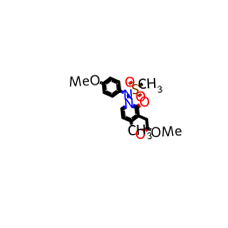 COC(=O)Cc1c(C)ccn(N(c2ccc(OC)cc2)S(C)(=O)=O)c1=O